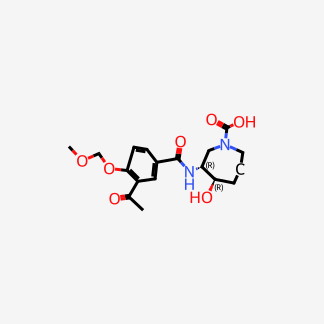 COCOc1ccc(C(=O)N[C@@H]2CN(C(=O)O)CCC[C@H]2O)cc1C(C)=O